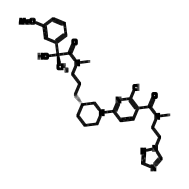 COc1cccc([C@@](O)(C(=O)N(C)CCC[C@H]2CCCN(c3ccc(C(=O)N(C)CCn4cncn4)c(Cl)n3)C2)C(F)(F)F)c1